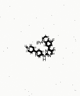 CC(C)N1CCSc2c(F)cc(-c3nc(Nc4ccc(C5CCN(C)CC5)nc4)ncc3F)cc21